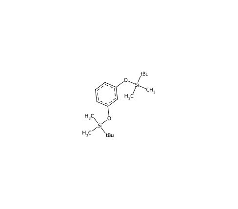 CC(C)(C)[Si](C)(C)Oc1cccc(O[Si](C)(C)C(C)(C)C)c1